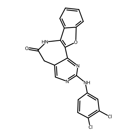 O=C1Cc2cnc(Nc3ccc(Cl)c(Cl)c3)nc2-c2oc3ccccc3c2N1